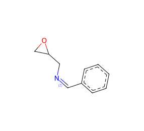 C(=N/CC1CO1)/c1ccccc1